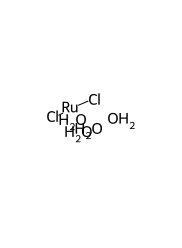 O.O.O.O.[Cl][Ru][Cl]